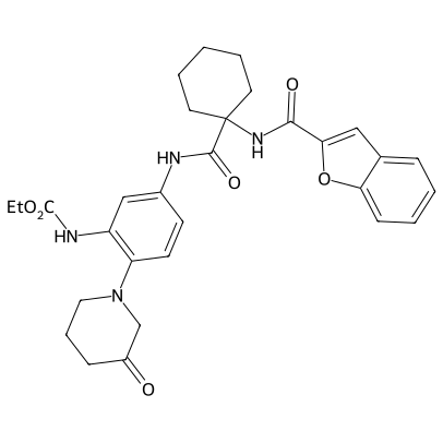 CCOC(=O)Nc1cc(NC(=O)C2(NC(=O)c3cc4ccccc4o3)CCCCC2)ccc1N1CCCC(=O)C1